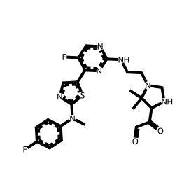 CN(c1ccc(F)cc1)c1ncc(-c2nc(NCCN3CNC(C(=O)C=O)C3(C)C)ncc2F)s1